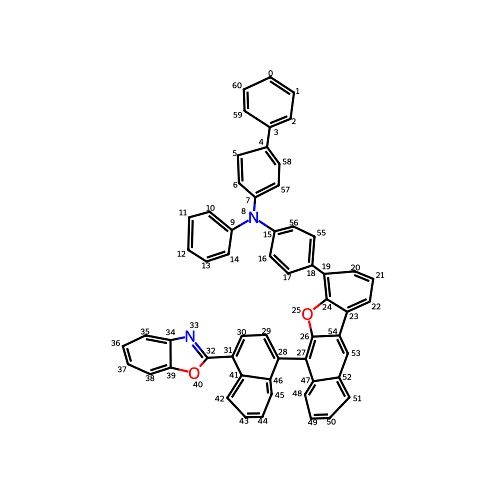 c1ccc(-c2ccc(N(c3ccccc3)c3ccc(-c4cccc5c4oc4c(-c6ccc(-c7nc8ccccc8o7)c7ccccc67)c6ccccc6cc45)cc3)cc2)cc1